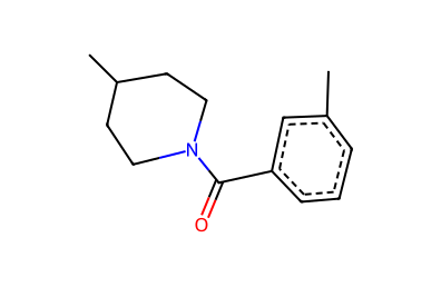 Cc1cccc(C(=O)N2CCC(C)CC2)c1